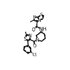 Cc1nc(C(=O)N2CCC[C@@H](NC(=O)c3c(C)nc4sccn34)C2)c(-c2cccc(Cl)c2)s1